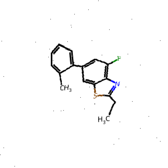 CCc1nc2c(F)cc(-c3ccccc3C)cc2s1